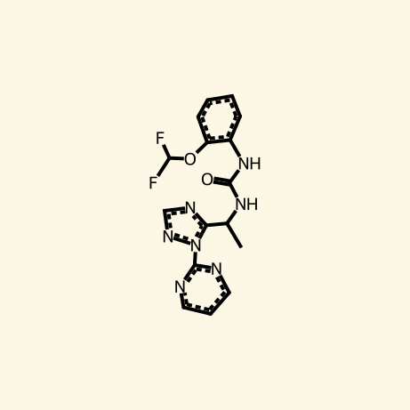 CC(NC(=O)Nc1ccccc1OC(F)F)c1ncnn1-c1ncccn1